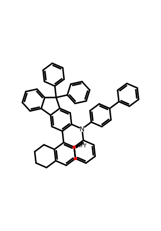 CC(C)c1ccc2c(c1-c1cc3c(cc1N(c1ccccc1)c1ccc(-c4ccccc4)cc1)C(c1ccccc1)(c1ccccc1)c1ccccc1-3)CCCC2